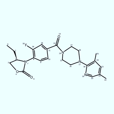 CC[C@@H]1COC(=O)N1c1ccc(C(=O)N2CCN(c3ncc(C)cc3C)CC2)cc1F